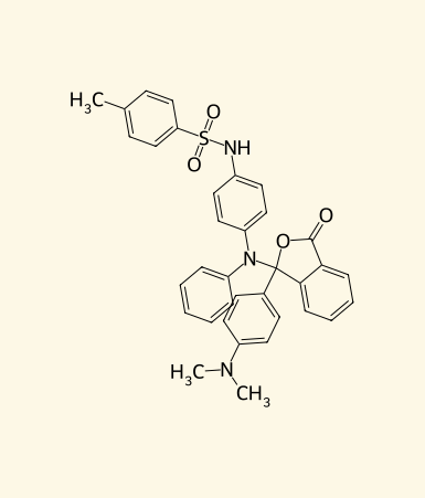 Cc1ccc(S(=O)(=O)Nc2ccc(N(c3ccccc3)C3(c4ccc(N(C)C)cc4)OC(=O)c4ccccc43)cc2)cc1